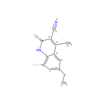 CCc1cc(F)c2[nH]c(=O)c(C#N)c(C)c2c1